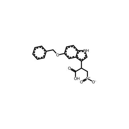 O=C(O)C(C[N+](=O)[O-])c1c[nH]c2ccc(OCc3ccccc3)cc12